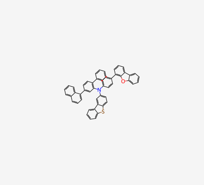 c1ccc(-c2ccc(-c3cccc4ccccc34)cc2N(c2ccc(-c3cccc4c3oc3ccccc34)cc2)c2ccc3sc4ccccc4c3c2)cc1